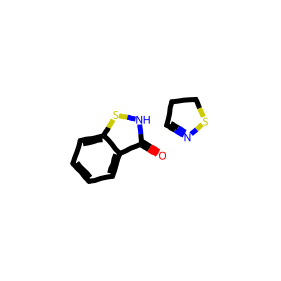 C1=NSCC1.O=c1[nH]sc2ccccc12